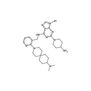 CC(C)n1cnc2c(NCc3cccnc3N3CCC4(CCC(N(C)C)CC4)CC3)nc(N3CCC(N)CC3)nc21